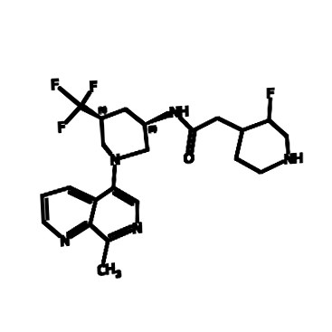 Cc1ncc(N2C[C@H](NC(=O)CC3CCNCC3F)C[C@H](C(F)(F)F)C2)c2cccnc12